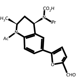 CC(=O)N1c2ccc(-c3ccc(C=O)o3)cc2[C@H](N(C(=O)O)C(C)C)C[C@@H]1C